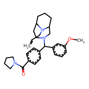 C=CCN1C2CCCC1CN(C(c1ccc(C(=O)N3CCCC3)cc1)c1cccc(OC)c1)CC2